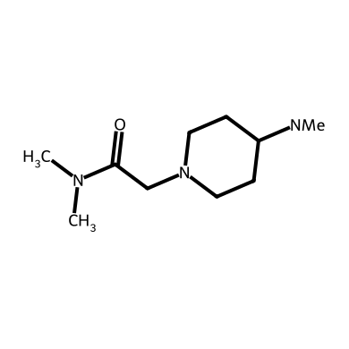 CNC1CCN(CC(=O)N(C)C)CC1